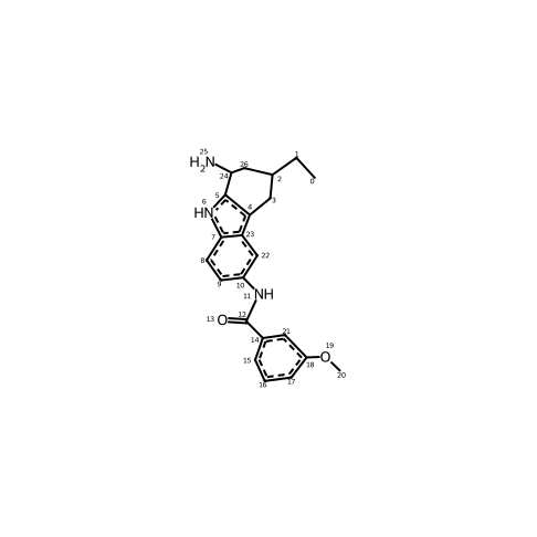 CCC1Cc2c([nH]c3ccc(NC(=O)c4cccc(OC)c4)cc23)C(N)C1